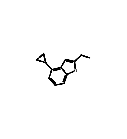 CCc1cc2c(C3CC3)cccc2o1